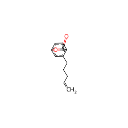 C=CCCCc1cc2ccc1c(=O)o2